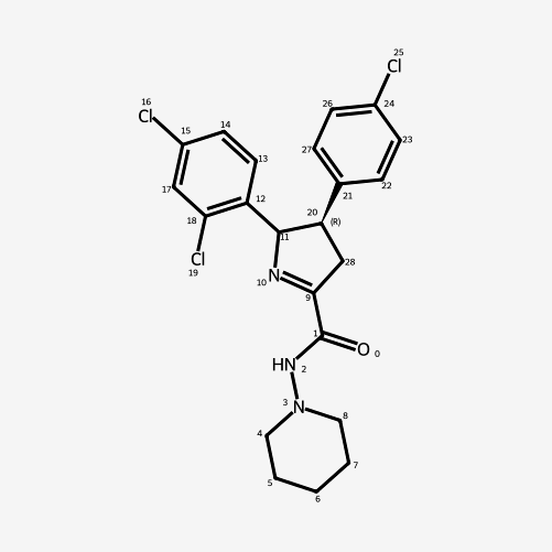 O=C(NN1CCCCC1)C1=NC(c2ccc(Cl)cc2Cl)[C@@H](c2ccc(Cl)cc2)C1